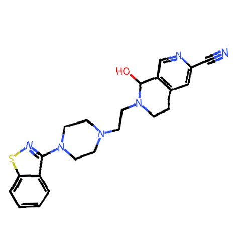 N#Cc1cc2c(cn1)C(O)N(CCN1CCN(c3nsc4ccccc34)CC1)CC2